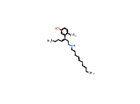 CCC/C=C(/CCNCCCCCCCCCC)c1cc(O)ccc1C